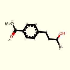 CCC(O)CCc1ccc(C(=O)OC)cc1